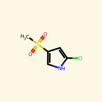 CS(=O)(=O)c1c[nH]c(Cl)c1